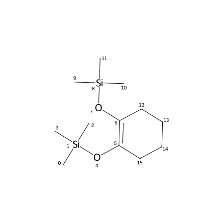 C[Si](C)(C)OC1=C(O[Si](C)(C)C)CCCC1